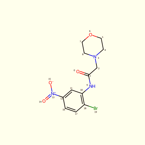 O=C(CN1CCOCC1)Nc1cc([N+](=O)[O-])ccc1Br